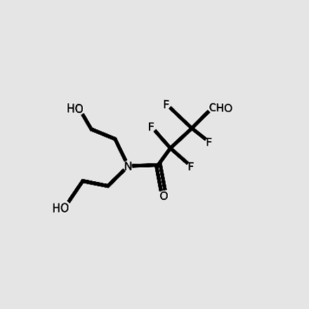 O=CC(F)(F)C(F)(F)C(=O)N(CCO)CCO